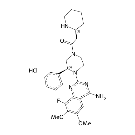 COc1cc2c(N)nc(N3CCN(C(=O)C[C@@H]4CCCCN4)C[C@@H]3c3ccccc3)nc2c(F)c1OC.Cl